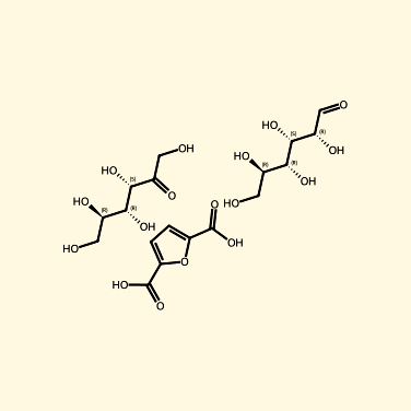 O=C(CO)[C@@H](O)[C@H](O)[C@H](O)CO.O=C(O)c1ccc(C(=O)O)o1.O=C[C@H](O)[C@@H](O)[C@H](O)[C@H](O)CO